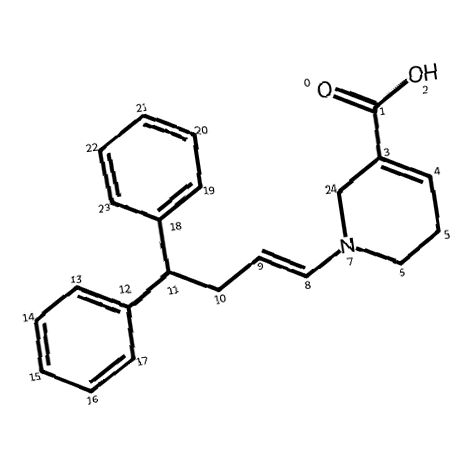 O=C(O)C1=CCCN(C=CCC(c2ccccc2)c2ccccc2)C1